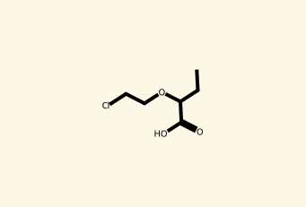 CCC(OCCCl)C(=O)O